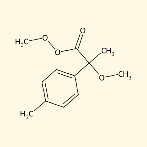 COOC(=O)C(C)(OC)c1ccc(C)cc1